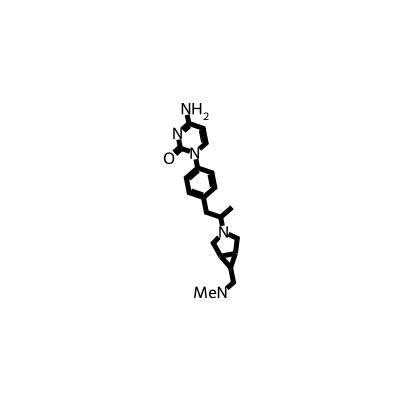 CNCC1C2CN(C(C)Cc3ccc(-n4ccc(N)nc4=O)cc3)CC12